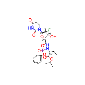 CC[C@H](NP(=O)(OC[C@H]1O[C@@H](n2ccc(=O)[nH]c2=O)[C@](C)(F)[C@@H]1O)Oc1ccccc1)C(=O)OC(C)C